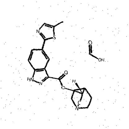 Cc1cnc(-c2ccc3[nH]nc(C(=O)O[C@H]4CN5CCC4CC5)c3c2)s1.O=CO